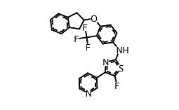 Fc1sc(Nc2ccc(OC3Cc4ccccc4C3)c(C(F)(F)F)c2)nc1-c1cccnc1